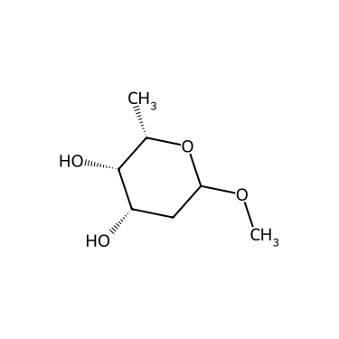 COC1C[C@H](O)[C@H](O)[C@H](C)O1